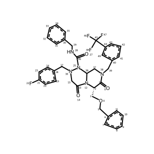 O=C1[C@H](COCc2ccccc2)N2C(=O)CN(Cc3ccc(F)cc3)N(C(=O)NCc3ccccc3)C2CN1Cc1cccc(C(F)(F)F)c1